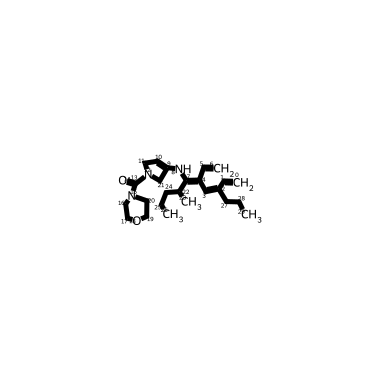 C=C/C(=C\C(C=C)=C(\NC1=CCN(C(=O)N2CCOCC2)C1)C(C)CCC)CCC